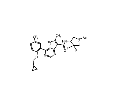 CC(=O)N1C[C@@H](NC(=O)c2c(C)[nH]c3c(-c4cc(C(F)(F)F)ccc4OCC4CC4)ncnc23)C(F)(F)C1